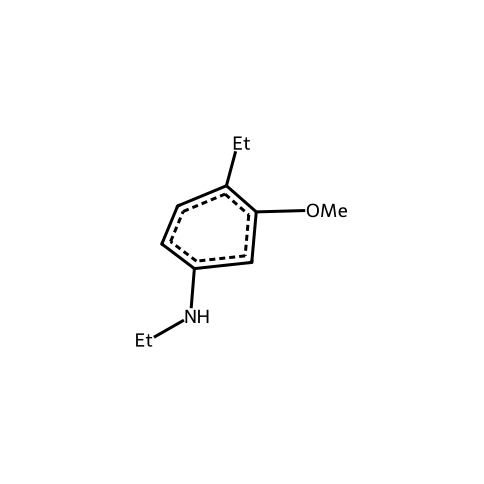 CCNc1ccc(CC)c(OC)c1